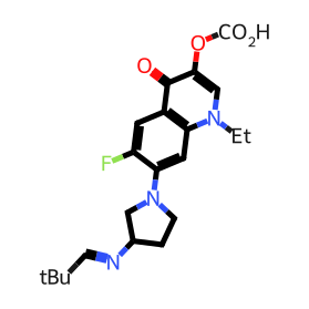 CCn1cc(OC(=O)O)c(=O)c2cc(F)c(N3CCC(N=CC(C)(C)C)C3)cc21